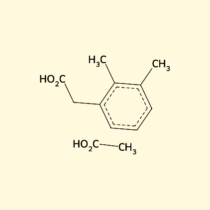 CC(=O)O.Cc1cccc(CC(=O)O)c1C